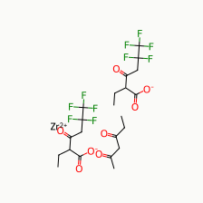 CCC(=O)CC(C)=O.CCC(C(=O)[O-])C(=O)CC(F)(F)C(F)(F)F.CCC(C(=O)[O-])C(=O)CC(F)(F)C(F)(F)F.[Zr+2]